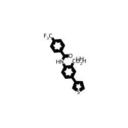 O=C(Nc1ccc(-c2ccsc2)cc1C(=O)O)c1ccc(C(F)(F)F)cc1.[LiH]